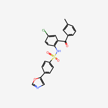 Cc1cccc(C(=O)c2cc(Cl)ccc2NS(=O)(=O)c2ccc(-c3cnco3)cc2)c1